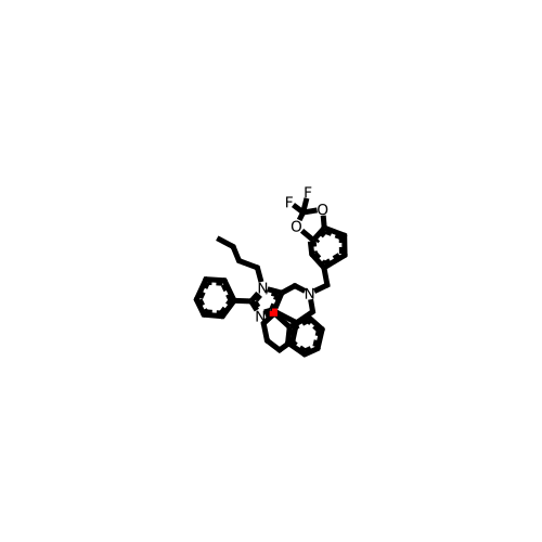 CCCCn1c(-c2ccccc2)nc(-c2ccccc2)c1CN(Cc1ccc2c(c1)OC(F)(F)O2)CC1CCCCC1